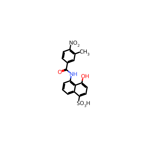 Cc1cc(C(=O)Nc2cccc3c(S(=O)(=O)O)ccc(O)c23)ccc1[N+](=O)[O-]